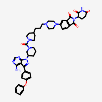 Nc1ncnc2c1c(-c1ccc(Oc3ccccc3)cc1)nn2C1CCCN(C(=O)N2CCC(CCCN3CCN(c4ccc5c(c4)C(=O)N(C4CCC(=O)NC4=O)C5=O)CC3)CC2)C1